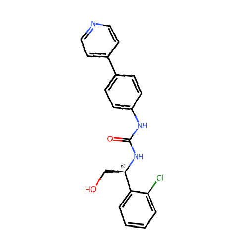 O=C(Nc1ccc(-c2ccncc2)cc1)N[C@H](CO)c1ccccc1Cl